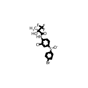 C[C@@](O)(C(=O)Nc1ccc([S+]([O-])c2ccc(Br)cc2)cc1Cl)C(F)(F)F